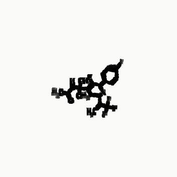 C=C(c1cc(C(C)(C)NC(C)=O)c(F)c(-c2ccc(F)cc2)n1)C(F)(F)F